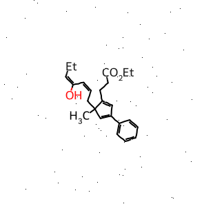 CC/C=C(O)\C=C/CC1(C)C=C(c2ccccc2)C=C1CCC(=O)OCC